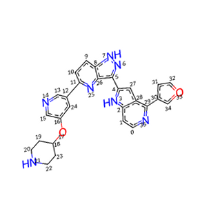 c1cc2[nH]c(-c3n[nH]c4ccc(-c5cncc(OC6CCNCC6)c5)nc34)cc2c(-c2ccoc2)n1